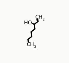 C=C[C](O)CCCCC